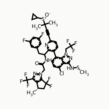 CSNc1nn(CC(F)(F)F)c2c(-c3ccc(C#CC(C)(C)[S+]([O-])C4CC4)nc3C(Cc3cc(F)cc(F)c3)NC(=O)Cn3nc(C(F)(F)F)c4c3C(F)(F)C[C@@H]4C)ccc(Cl)c12